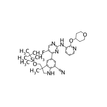 CC1(CO[Si](C)(C)C(C)(C)C)CNc2c(C#N)cc(-c3nc(Nc4cccnc4OC4CCOCC4)ncc3F)cc21